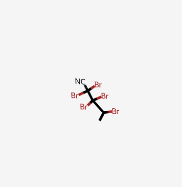 CC(Br)C(Br)(Br)C(Br)(Br)C#N